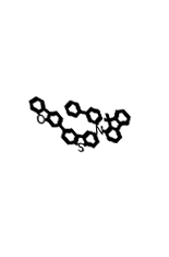 CC1(C)c2ccccc2-c2cccc(N(c3cccc(-c4ccccc4)c3)c3ccc4sc5ccc(-c6ccc7c(c6)oc6ccccc67)cc5c4c3)c21